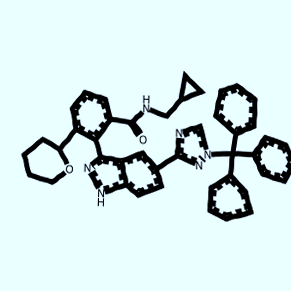 O=C(NCC1CC1)c1cccc(C2CCCCO2)c1-c1n[nH]c2ccc(-c3ncn(C(c4ccccc4)(c4ccccc4)c4ccccc4)n3)cc12